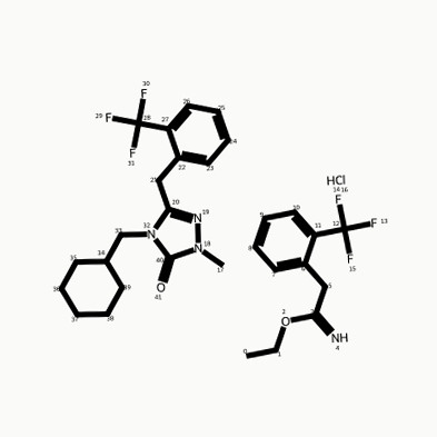 CCOC(=N)Cc1ccccc1C(F)(F)F.Cl.Cn1nc(Cc2ccccc2C(F)(F)F)n(CC2CCCCC2)c1=O